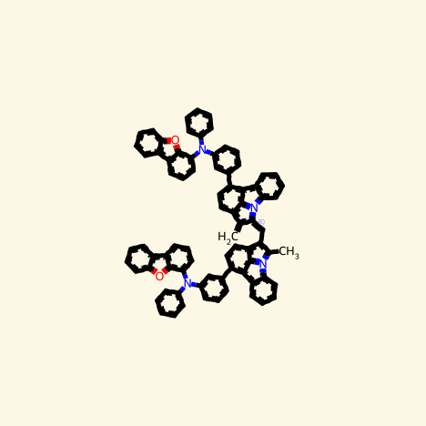 C=c1/c(=C\c2c(C)n3c4ccccc4c4c(-c5cccc(N(c6ccccc6)c6cccc7c6oc6ccccc67)c5)ccc2c43)n2c3ccccc3c3c(-c4cccc(N(c5ccccc5)c5cccc6c5oc5ccccc56)c4)ccc1c32